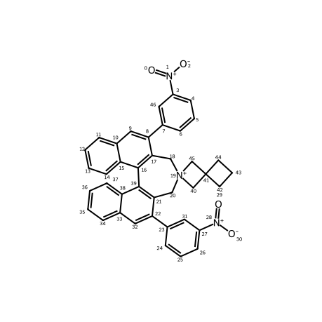 O=[N+]([O-])c1cccc(-c2cc3ccccc3c3c2C[N+]2(Cc4c(-c5cccc([N+](=O)[O-])c5)cc5ccccc5c4-3)CC3(CCC3)C2)c1